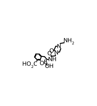 NCCN1CCN(CC(=O)NC2Cc3cccc(C(=O)O)c3OB2O)C(=O)C1